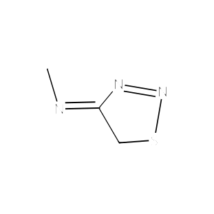 CN=C1CSN=N1